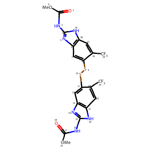 COC(=O)Nc1nc2cc(SSc3cc4nc(NC(=O)OC)[nH]c4cc3C(F)(F)F)c(C(F)(F)F)cc2[nH]1